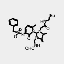 C=C1C(C)N(CC(=O)NCC(C)(C)C)C(n2c(C)ccc(NS(=O)(=O)Cc3ccccc3)c2=O)N1CNC=O